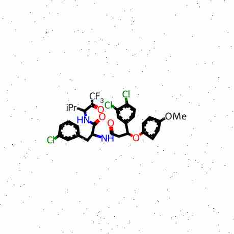 COc1ccc(OC(CC(=O)NC(Cc2cccc(Cl)c2)C(=O)NC(C(=O)C(F)(F)F)C(C)C)c2ccc(Cl)c(Cl)c2)cc1